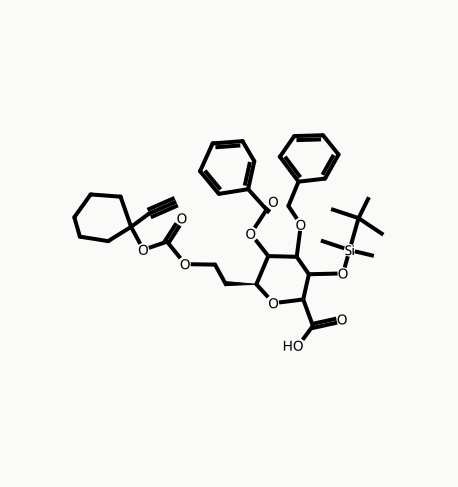 C#CC1(OC(=O)OCC[C@@H]2OC(C(=O)O)C(O[Si](C)(C)C(C)(C)C)C(OCc3ccccc3)C2OC(=O)c2ccccc2)CCCCC1